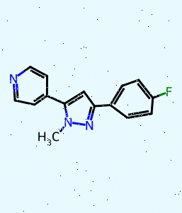 Cn1nc(-c2ccc(F)cc2)cc1-c1ccncc1